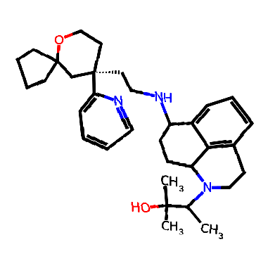 CC(N1CCc2cccc3c2C1CCC3NCC[C@@]1(c2ccccn2)CCOC2(CCCC2)C1)C(C)(C)O